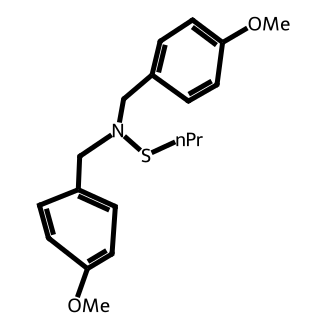 CCCSN(Cc1ccc(OC)cc1)Cc1ccc(OC)cc1